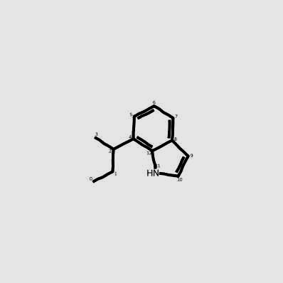 CCC(C)c1cccc2cc[nH]c12